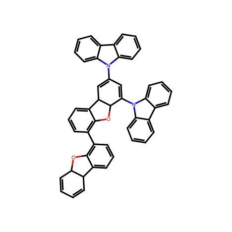 C1=CC2Oc3c(-c4cccc5c4OC4C(n6c7ccccc7c7ccccc76)=CC(n6c7ccccc7c7ccccc76)=CC54)cccc3C2C=C1